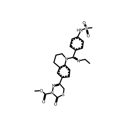 CCN=C(c1ccc(NS(C)(=O)=O)cc1)N1CCCc2cc(C3=NN(C(=O)OC)C(=O)SC3)ccc21